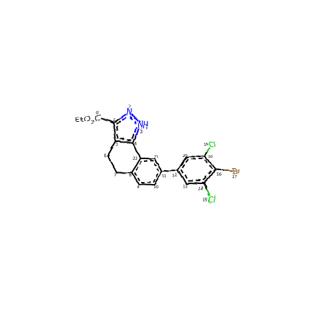 CCOC(=O)c1n[nH]c2c1CCc1ccc(-c3cc(Cl)c(Br)c(Cl)c3)cc1-2